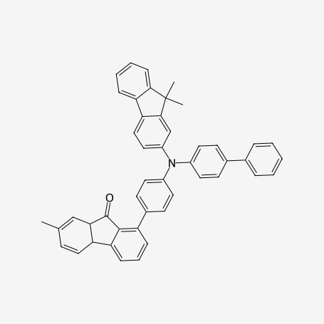 CC1=CC2C(=O)c3c(-c4ccc(N(c5ccc(-c6ccccc6)cc5)c5ccc6c(c5)C(C)(C)c5ccccc5-6)cc4)cccc3C2C=C1